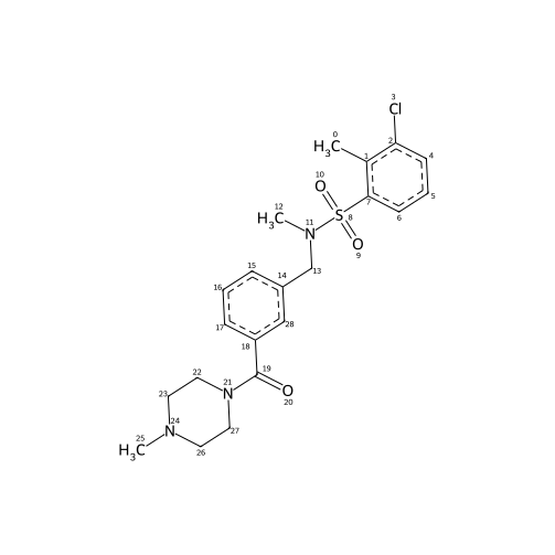 Cc1c(Cl)cccc1S(=O)(=O)N(C)Cc1cccc(C(=O)N2CCN(C)CC2)c1